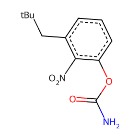 CC(C)(C)Cc1cccc(OC(N)=O)c1[N+](=O)[O-]